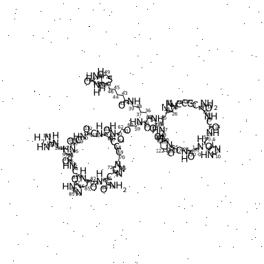 C[C@H]1NC(=O)[C@@H](Cc2c[nH]cn2)NC(=O)CNC(=O)[C@@H](N)CCCCn2cc(nn2)C[C@@H](C(=O)N[C@@H](CCCCNC(=O)CCCC[C@@H]2SC[C@@H]3NC(=O)N[C@@H]32)C(=O)NCCOCC(=O)N[C@H]2CCCCn3cc(nn3)C[C@@H](C(N)=O)NC(=O)[C@@H](Cc3c[nH]cn3)NC(=O)CNC(=O)[C@@H](CCCNC(=N)N)NC(=O)CNC(=O)CNC2=O)NC(=O)[C@H]2CCCN2C(=O)CNC1=O